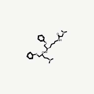 CN(C)CCC(CSc1ccccc1)O[N][C@H](CCCCNC(=O)CN(C)C)CSc1ccccc1